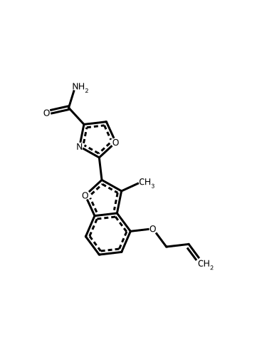 C=CCOc1cccc2oc(-c3nc(C(N)=O)co3)c(C)c12